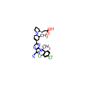 CC1CC(c2cnc3c(C#N)nn([C@H](C)c4ccc(Cl)cc4Cl)c3n2)=CCC1N1CCC[C@H]1CCC(=O)O